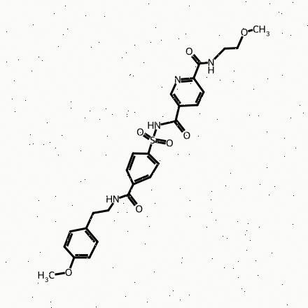 COCCNC(=O)c1ccc(C(=O)NS(=O)(=O)c2ccc(C(=O)NCCc3ccc(OC)cc3)cc2)cn1